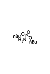 CCCCOP(N)(=O)OCCCC